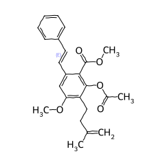 C=C(C)CCc1c(OC)cc(/C=C/c2ccccc2)c(C(=O)OC)c1OC(C)=O